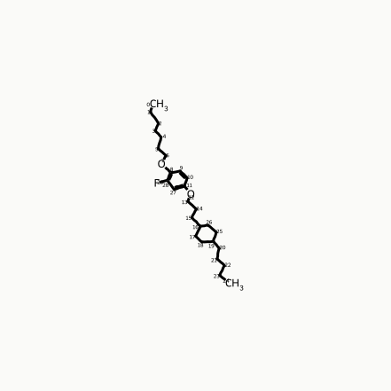 CCCCCCCOc1ccc(OCCCC2CCC(CCCCC)CC2)cc1F